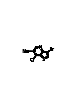 N#Cc1cnc2c(Br)csc2c1Cl